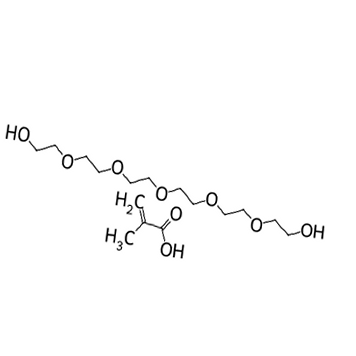 C=C(C)C(=O)O.OCCOCCOCCOCCOCCOCCO